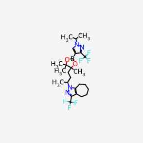 CC(C)n1cc(B2OC(C)(C)C(C)(CCC(C)n3nc(C(F)(F)F)c4c3CCCCC4)O2)c(C(F)(F)F)n1